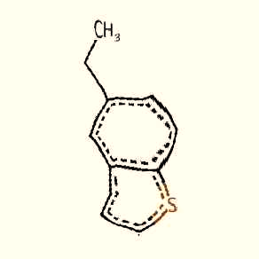 CCc1ccc2s[c]cc2c1